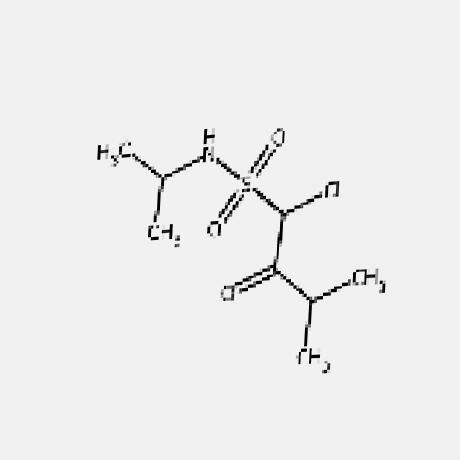 CC(C)NS(=O)(=O)C(Cl)C(=O)C(C)C